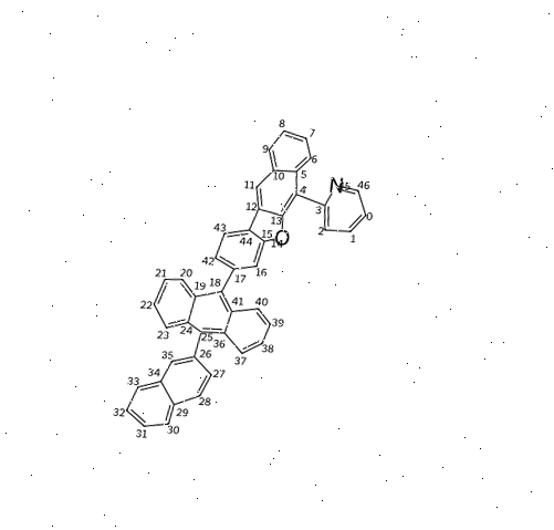 c1ccc(-c2c3ccccc3cc3c2oc2cc(-c4c5ccccc5c(-c5ccc6ccccc6c5)c5ccccc45)ccc23)nc1